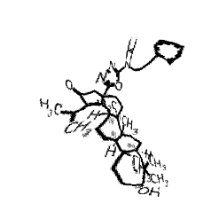 CC(C)C1=C2[C@H]3CC[C@@H]4[C@@]5(C)CC[C@H](O)C(C)(C)[C@@H]5CC[C@@]4(C)[C@]3(C)CC[C@@]2(c2nnc(NCc3ccccc3)o2)CC1=O